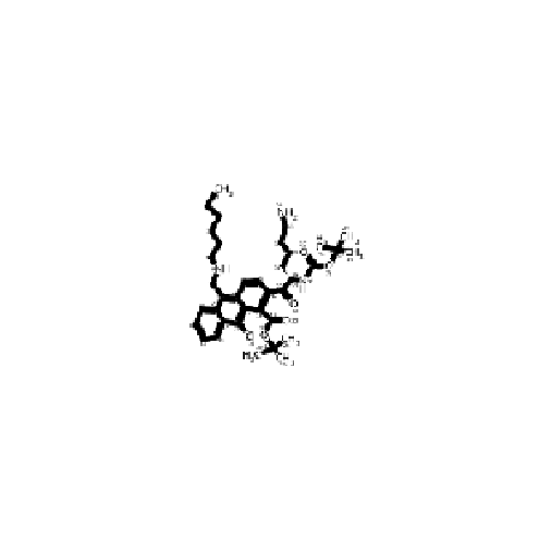 CCCCCCNCc1c2ccccc2c(Cl)c2c(C(=O)OC(C)(C)C)c(C(=O)[C@H](CCCCN)NC(=O)OC(C)(C)C)ccc12